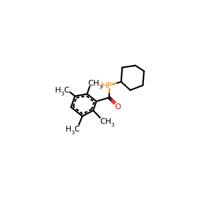 Cc1cc(C)c(C)c(C(=O)PC2CCCCC2)c1C